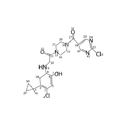 CC1(C2=C(Cl)C=C(O)C(NCC(=O)N3CCN(C(=O)c4cnc(Cl)nc4)CC3)C2)CC1